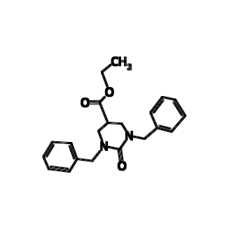 CCOC(=O)C1CN(Cc2ccccc2)C(=O)N(Cc2ccccc2)C1